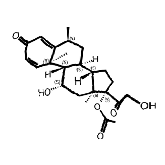 CC(=O)O[C@@]1(C(=O)CO)CC[C@H]2[C@@H]3C[C@H](C)C4=CC(=O)C=C[C@]4(C)[C@H]3[C@@H](O)C[C@@]21C